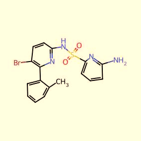 Cc1ccccc1-c1nc(NS(=O)(=O)c2cccc(N)n2)ccc1Br